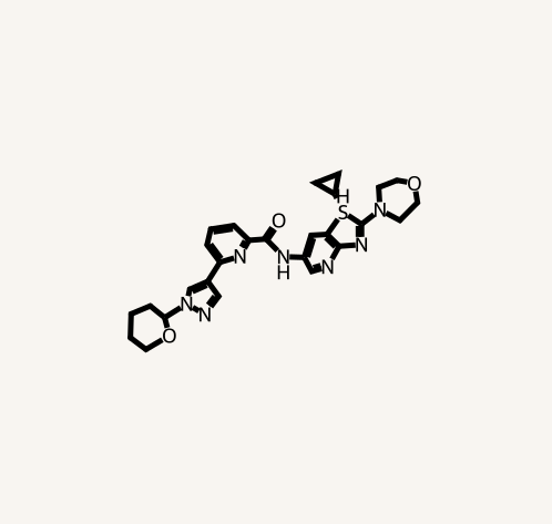 O=C(Nc1cnc2c(c1)[SH](C1CC1)C(N1CCOCC1)=N2)c1cccc(-c2cnn(C3CCCCO3)c2)n1